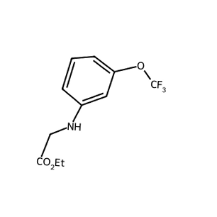 CCOC(=O)CNc1cccc(OC(F)(F)F)c1